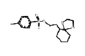 Cc1ccc(S(=O)(=O)OCCC2CCCCC23OCCO3)cc1